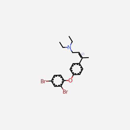 CCN(CC)C/C=C(/C)c1ccc(Oc2ccc(Br)cc2Br)cc1